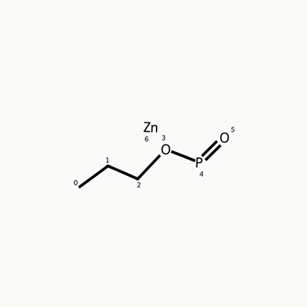 CCCOP=O.[Zn]